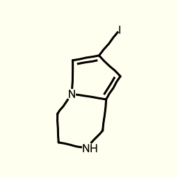 Ic1cc2n(c1)CCNC2